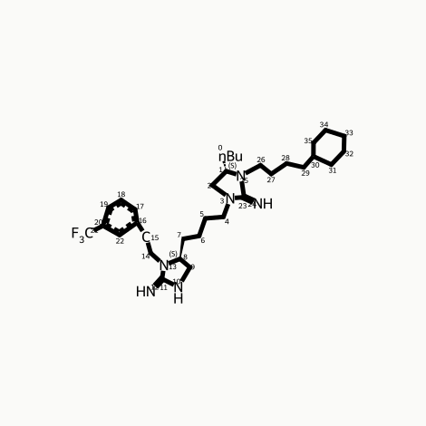 CCCC[C@H]1CN(CCCC[C@H]2CNC(=N)N2CCc2cccc(C(F)(F)F)c2)C(=N)N1CCCCC1CCCCC1